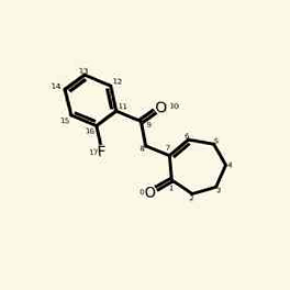 O=C1CCCCC=C1CC(=O)c1ccccc1F